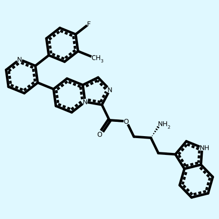 Cc1cc(-c2ncccc2-c2ccn3c(C(=O)OC[C@H](N)Cc4c[nH]c5ccccc45)ncc3c2)ccc1F